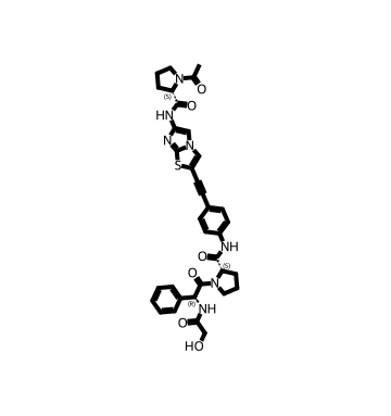 CC(=O)N1CCC[C@H]1C(=O)Nc1cn2cc(C#Cc3ccc(NC(=O)[C@@H]4CCCN4C(=O)[C@H](NC(=O)CO)c4ccccc4)cc3)sc2n1